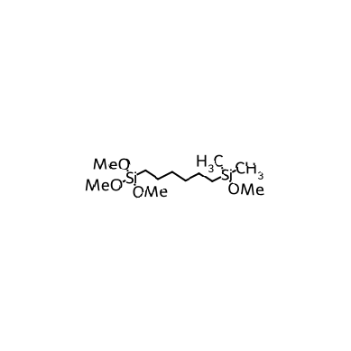 CO[Si](C)(C)CCCCCC[Si](OC)(OC)OC